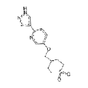 O=S1(=O)CCC(COc2ccc(-c3cn[nH]c3)nc2)CC1